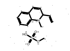 C=CC1C=Cc2ccccc2N1C.COS(=O)(=O)O